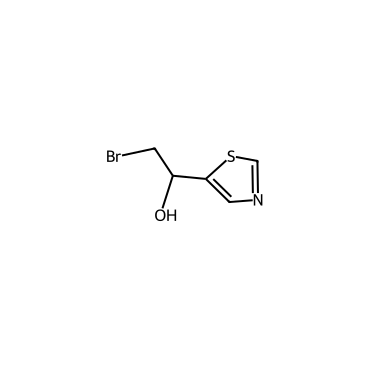 OC(CBr)c1cncs1